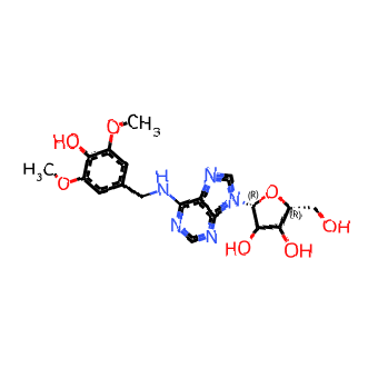 COc1cc(CNc2ncnc3c2ncn3[C@@H]2O[C@H](CO)C(O)C2O)cc(OC)c1O